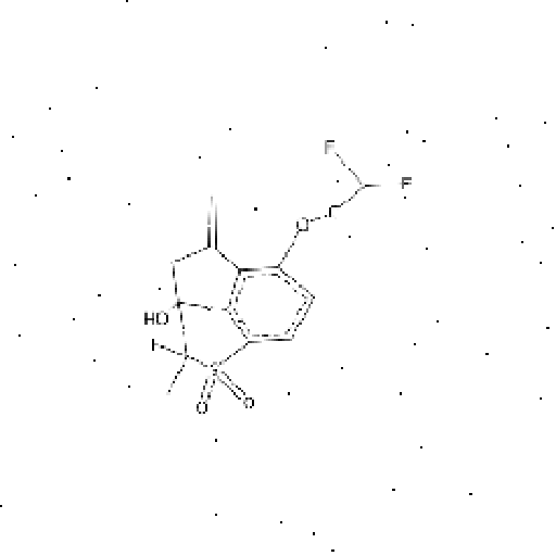 C=C1CC2(O)c3c(ccc(OCC(F)F)c31)S(=O)(=O)C2(C)F